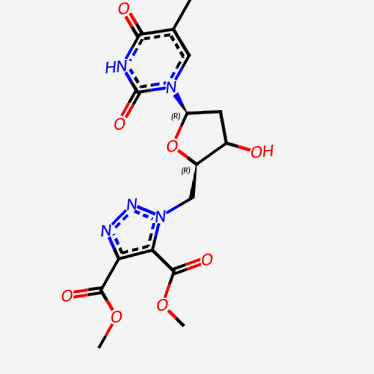 COC(=O)c1nnn(C[C@H]2O[C@@H](n3cc(C)c(=O)[nH]c3=O)CC2O)c1C(=O)OC